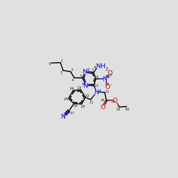 CCCCCc1nc(N)c([N+](=O)[O-])c(N(CC(=O)OCC)Cc2cccc(C#N)c2)n1